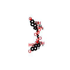 C[C@]12CCC(=O)C=C1CCC1C2[C@@H](O)C[C@@]2(C)C1CC[C@]2(O)C(=O)COC(=O)CCC(=O)OCC(=O)[C@@]1(O)CCC2C3CCC4=CC(=O)CC[C@]4(C)C3[C@@H](O)C[C@@]21C